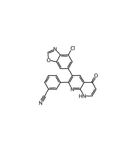 N#Cc1cccc(-c2nc3[nH]ccc(=O)c3cc2-c2cc(Cl)c3ncoc3c2)c1